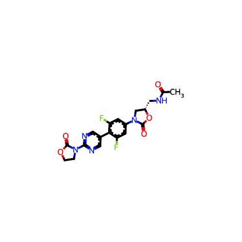 CC(=O)NC[C@H]1CN(c2cc(F)c(-c3cnc(N4CCOC4=O)nc3)c(F)c2)C(=O)O1